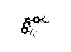 [CH3][SnH]([CH3])[c]1cccc(Cn2ccn(-c3ccc(C(=O)NO)cc3)c2=O)c1